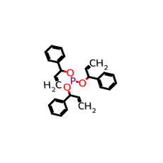 C=CC(OP(OC(C=C)c1ccccc1)OC(C=C)c1ccccc1)c1ccccc1